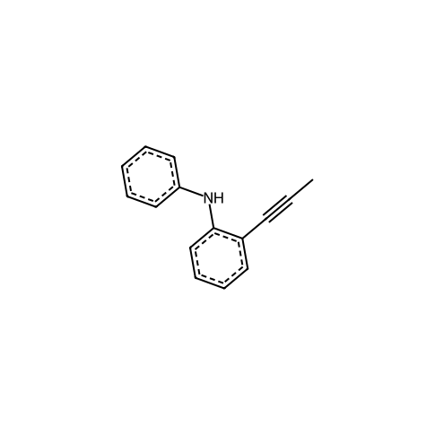 CC#Cc1ccccc1Nc1ccccc1